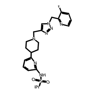 CC(C)S(=O)(=O)Nc1cccc(C2CCN(Cc3cn(Cc4ncccc4F)nn3)CC2)n1